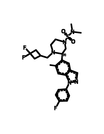 Cc1cc2c(cnn2-c2ccc(F)cc2)cc1[C@@H]1CN(S(=O)(=O)N(C)C)CCN1CC1CC(F)(F)C1